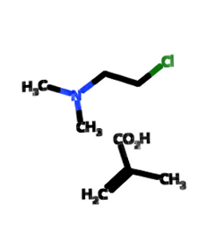 C=C(C)C(=O)O.CN(C)CCCl